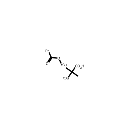 CC(C)(C)C(C)(C)C(=O)O.CC(C)C(=O)OC(C)(C)C